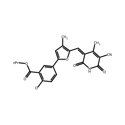 CCCOC(=O)c1cc(-c2cc(C)c(/C=C3\C(=O)NC(=O)C(C#N)=C3C)o2)ccc1Cl